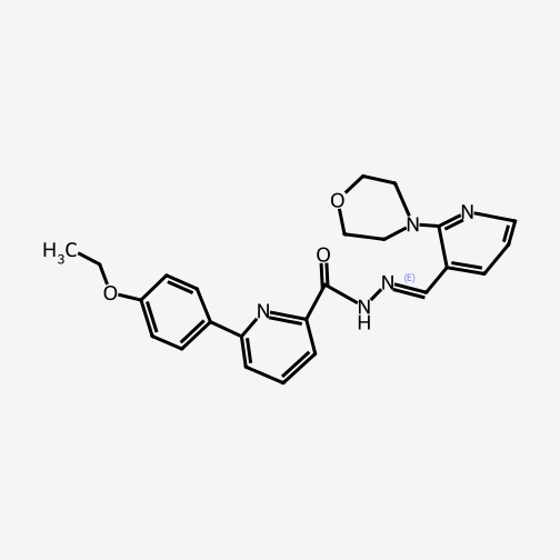 CCOc1ccc(-c2cccc(C(=O)N/N=C/c3cccnc3N3CCOCC3)n2)cc1